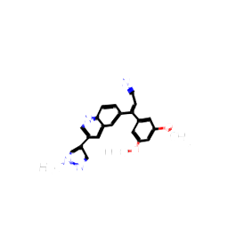 COc1cc(OC)cc(/C(=C/C#N)c2ccc3ncc(-c4cnn(C)c4)cc3c2)c1